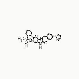 CC(C)(O)c1ccccc1-c1ncc2[nH]c(=O)n(Cc3ccc(-n4cccn4)cc3)c2n1